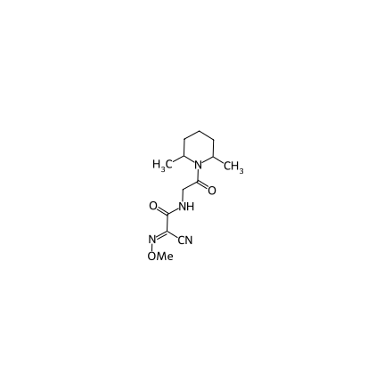 CO/N=C(\C#N)C(=O)NCC(=O)N1C(C)CCCC1C